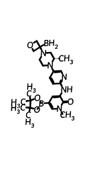 BC1(N2CCN(c3ccc(Nc4cc(B5OC(C)(C)C(C)(C)O5)cn(C)c4=O)nc3)[C@@H](C)C2)COC1